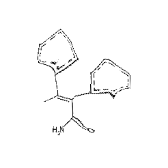 CC(=C(C(N)=O)c1ccccc1)c1ccccc1